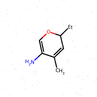 CCC1C=C(C)C(N)=CO1